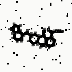 COC(=O)c1ccccc1C(=O)N1C[C@H](Oc2nccn3nccc23)CC[C@H]1C